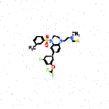 CN(C=S)CCN1CCN(S(=O)(=O)c2cccc(C(F)(F)F)c2)c2cc(-c3cc(F)cc(OC(F)F)c3)ccc21